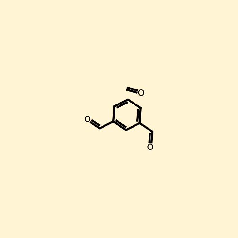 C=O.O=Cc1cccc(C=O)c1